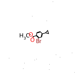 COC(=O)c1ccc(C2CC2)cc1Br